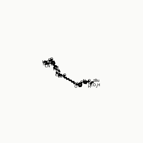 C[C@@H]1CN(c2ncc(-c3ccc4c(n3)N(Cc3cccnc3C#N)C(C)(C)C4=O)cn2)CCN1C(=O)CNC(=O)CCCCCCCCCNC(=O)c1cccc(Oc2ccc(C(=O)N[C@@H](CCC(C)(C)C)C(=O)O)cn2)c1